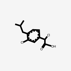 CC(C)Cc1ccc(C(Cl)C(=O)O)cc1Cl